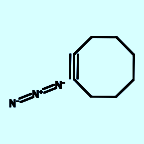 C1#CCCCCCC1.[N-]=[N+]=[N-]